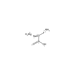 O=[Si](O)OF.[AlH3].[MgH2].[NaH]